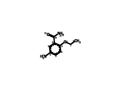 CCOc1ccc(N)cc1C(N)=O